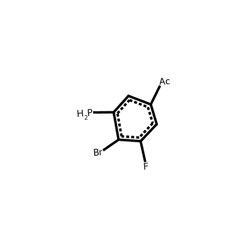 CC(=O)c1cc(F)c(Br)c(P)c1